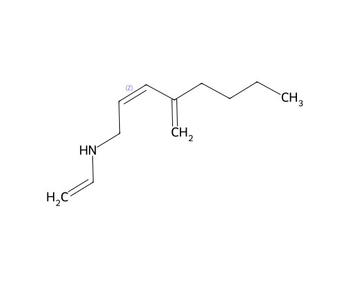 C=CNC/C=C\C(=C)CCCC